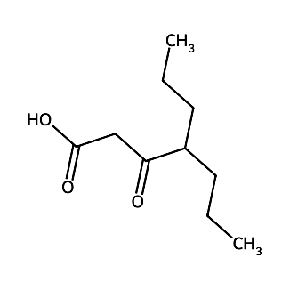 CCCC(CCC)C(=O)CC(=O)O